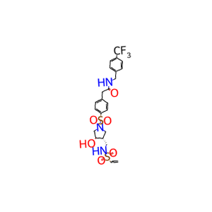 C=CS(=O)(=O)NC[C@H]1CN(S(=O)(=O)c2ccc(CC(=O)NCc3ccc(C(F)(F)F)cc3)cc2)C[C@@H]1O